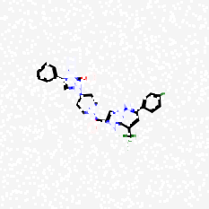 O=C(c1cn2nc(-c3ccc(F)cc3)cc(C(F)(F)F)c2n1)N1CCC(n2cc(-c3ccccc3)[nH]c2=O)CC1